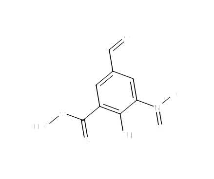 COC(=O)c1cc(C=O)cc([N+](=O)[O-])c1C